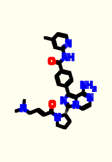 Cc1ccnc(NC(=O)c2ccc(-c3nc([C@@H]4CCCN4C(=O)/C=C/CN(C)C)n4ccnc(N)c34)cc2)c1